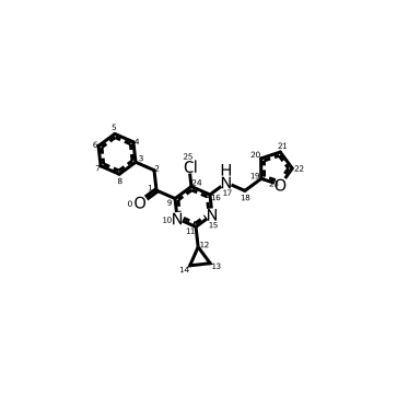 O=C(Cc1ccccc1)c1nc(C2CC2)nc(NCc2ccco2)c1Cl